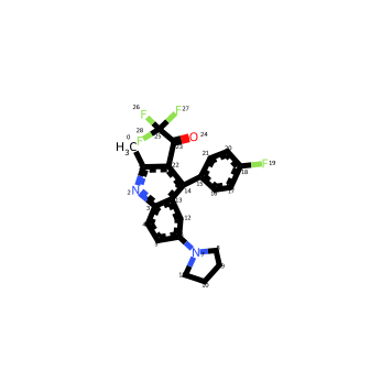 Cc1nc2ccc(N3CCCC3)cc2c(-c2ccc(F)cc2)c1C(=O)C(F)(F)F